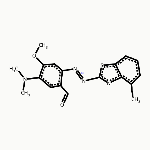 COc1cc(/N=N/c2nc3c(C)cccc3s2)c(C=O)cc1N(C)C